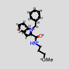 COCCCNC(=O)c1cc2sccc2n1Cc1ccccc1